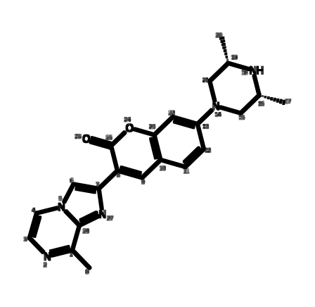 Cc1nccn2cc(-c3cc4ccc(N5C[C@@H](C)N[C@@H](C)C5)cc4oc3=O)nc12